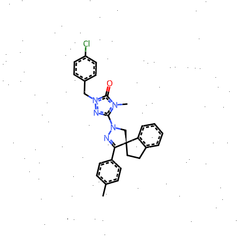 Cc1ccc(C2=NN(c3nn(Cc4ccc(Cl)cc4)c(=O)n3C)C[C@@]23CCc2ccccc23)cc1